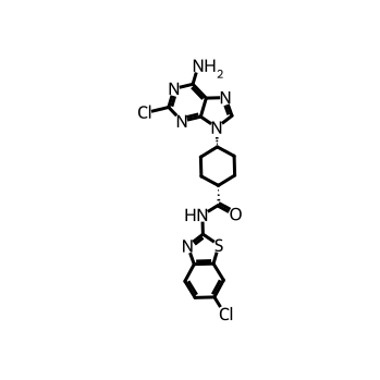 Nc1nc(Cl)nc2c1ncn2[C@H]1CC[C@@H](C(=O)Nc2nc3ccc(Cl)cc3s2)CC1